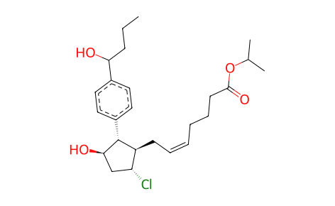 CCCC(O)c1ccc([C@@H]2[C@@H](C/C=C\CCCC(=O)OC(C)C)[C@H](Cl)C[C@H]2O)cc1